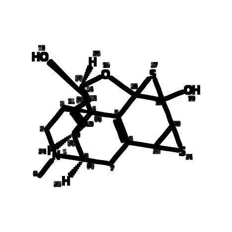 CN1CC[C@@]23C4=C5C[C@@H]1[C@@H]2C=C[C@H](O)[C@@H]3OC41SC1(O)C1SC51